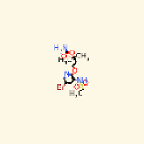 CCS(=O)(=O)Nc1cc(Br)cnc1OCCC(C)(C)OC(N)=O